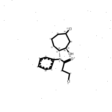 O=C(CCCl)N(c1ccccc1)[C@@H]1CCCC(Cl)C[C@H]1O